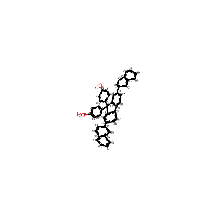 Oc1ccc(C2(c3ccc(O)cc3)c3cc(-c4ccc5ccccc5c4)ccc3-c3ccc(-c4ccc5ccccc5c4)cc32)cc1